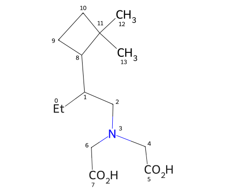 CCC(CN(CC(=O)O)CC(=O)O)C1CCC1(C)C